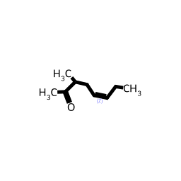 CC/C=C\CC(C)C(C)=O